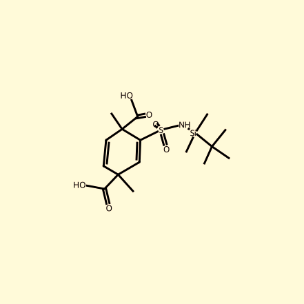 CC1(C(=O)O)C=CC(C)(C(=O)O)C(S(=O)(=O)N[Si](C)(C)C(C)(C)C)=C1